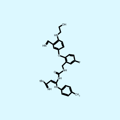 Cc1ccc(N/C(=C\C(=N)C(C)(C)C)NC(=O)NCc2cc(F)ccc2Oc2ccc(NCCO)c(C=N)c2)cc1